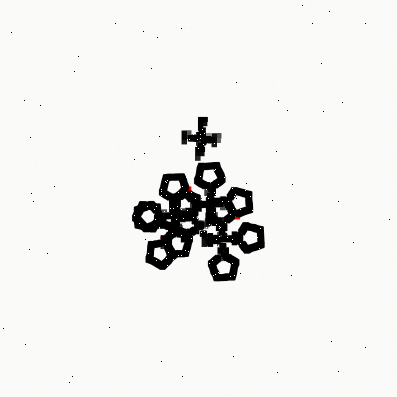 C1CCN(P(=N[P+](N=P(N2CCCC2)(N2CCCC2)N2CCCC2)(N=P(N2CCCC2)(N2CCCC2)N2CCCC2)N=P(N2CCCC2)(N2CCCC2)N2CCCC2)(N2CCCC2)N2CCCC2)C1.F[B-](F)(F)F